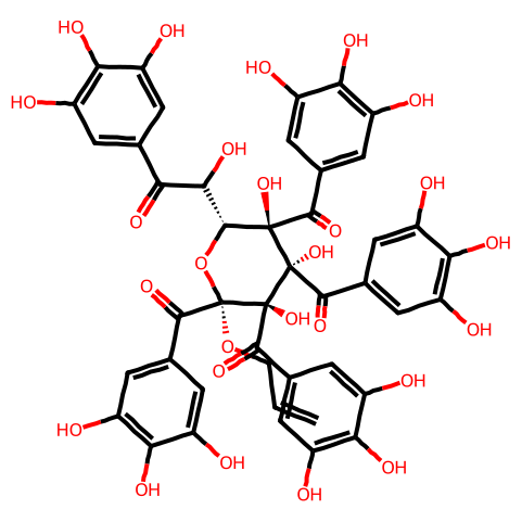 C=CCO[C@]1(C(=O)c2cc(O)c(O)c(O)c2)O[C@H](C(O)C(=O)c2cc(O)c(O)c(O)c2)[C@](O)(C(=O)c2cc(O)c(O)c(O)c2)[C@@](O)(C(=O)c2cc(O)c(O)c(O)c2)[C@]1(O)C(=O)c1cc(O)c(O)c(O)c1